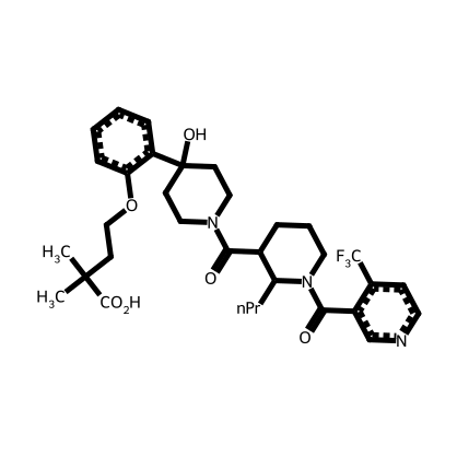 CCCC1C(C(=O)N2CCC(O)(c3ccccc3OCCC(C)(C)C(=O)O)CC2)CCCN1C(=O)c1cnccc1C(F)(F)F